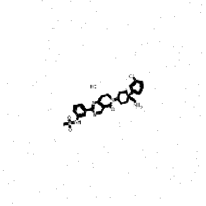 CS(=O)(=O)Nc1cccc(-c2ncc3c(n2)CCN(C2CCC(CN)(c4cccc(Cl)c4)CC2)C3=O)c1.Cl